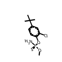 COP(N)(=S)Oc1ccc(C(C)(C)C)cc1Cl